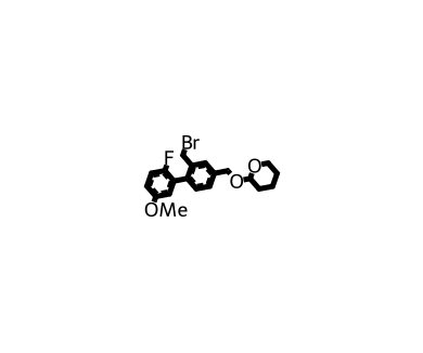 COc1ccc(F)c(-c2ccc(COC3CCCCO3)cc2CBr)c1